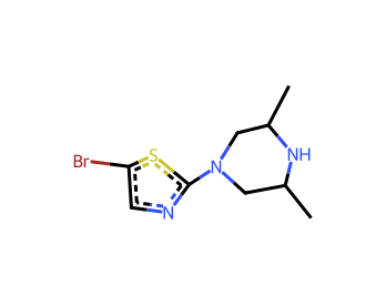 CC1CN(c2ncc(Br)s2)CC(C)N1